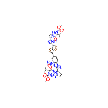 COC(=O)N[C@H](C(=O)N1CC=CC1c1nc2ccc(-c3csc4c(-c5cnc(C6CCCN6C(=O)[C@@H](NC(=O)OC)C(C)C)[nH]5)csc34)cc2[nH]1)C(C)C